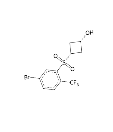 O=S(=O)(c1cc(Br)ccc1C(F)(F)F)[C@H]1C[C@@H](O)C1